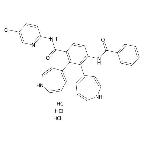 Cl.Cl.Cl.O=C(Nc1ccc(C(=O)Nc2ccc(Cl)cn2)c(C2=CC=CNC=C2)c1C1=CC=CNC=C1)c1ccccc1